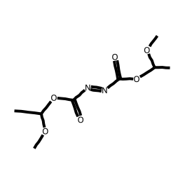 COC(C)OC(=O)/N=N/C(=O)OC(C)OC